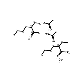 CC(=O)[O-].CC(=O)[O-].CCCCC(CC)C(=O)[O-].CCCCC(CC)C(=O)[O-].[Ce+4]